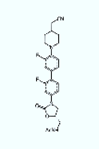 CC(=O)NC[C@H]1CN(c2ccc(-c3ccc(N4CCC(CC#N)CC4)c(F)c3)c(F)c2)C(=O)O1